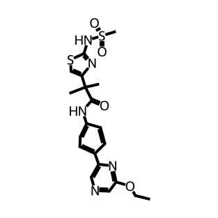 CCOc1cncc(-c2ccc(NC(=O)C(C)(C)c3csc(NS(C)(=O)=O)n3)cc2)n1